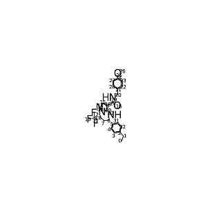 CCc1ccc([C@@H]2C[C@H](C(F)(F)F)n3ncc(C(=O)NCc4ccc(OC)cc4)c3N2)cc1